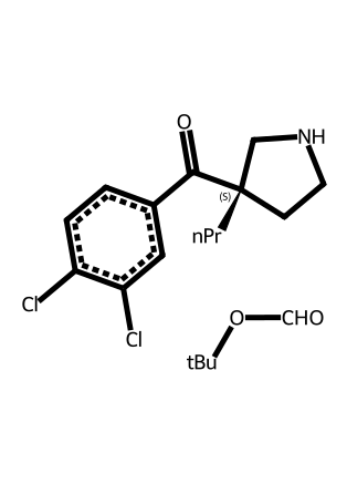 CC(C)(C)OC=O.CCC[C@]1(C(=O)c2ccc(Cl)c(Cl)c2)CCNC1